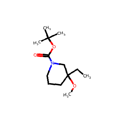 CCC1(OC)CCCN(C(=O)OC(C)(C)C)C1